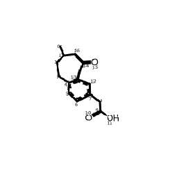 CC1CCc2ccc(CC(=O)O)cc2C(=O)C1